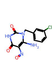 Nc1c(N=O)c(=O)[nH]c(=O)n1Cc1cccc(Cl)c1